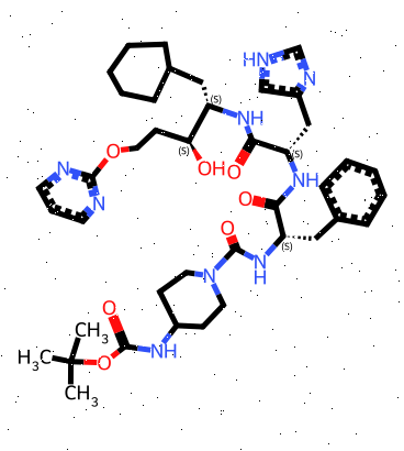 CC(C)(C)OC(=O)NC1CCN(C(=O)N[C@@H](Cc2ccccc2)C(=O)N[C@@H](Cc2c[nH]cn2)C(=O)N[C@@H](CC2CCCCC2)[C@@H](O)CCOc2ncccn2)CC1